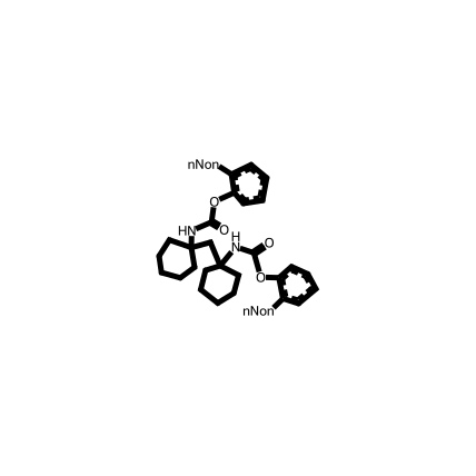 CCCCCCCCCc1ccccc1OC(=O)NC1(CC2(NC(=O)Oc3ccccc3CCCCCCCCC)CCCCC2)CCCCC1